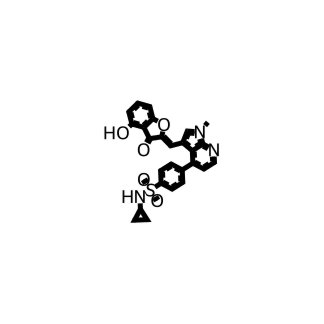 Cn1cc(/C=C2\Oc3cccc(O)c3C2=O)c2c(-c3ccc(S(=O)(=O)NC4CC4)cc3)ccnc21